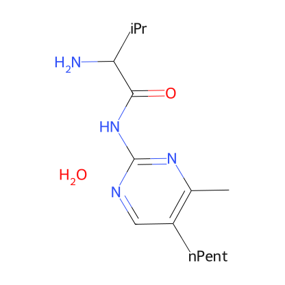 CCCCCc1cnc(NC(=O)C(N)C(C)C)nc1C.O